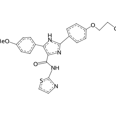 COc1ccc(-c2[nH]c(-c3ccc(OCCO)cc3)nc2C(=O)Nc2nccs2)cc1